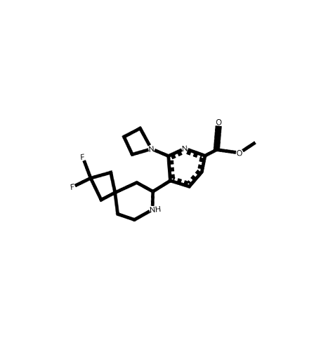 COC(=O)c1ccc(C2CC3(CCN2)CC(F)(F)C3)c(N2CCC2)n1